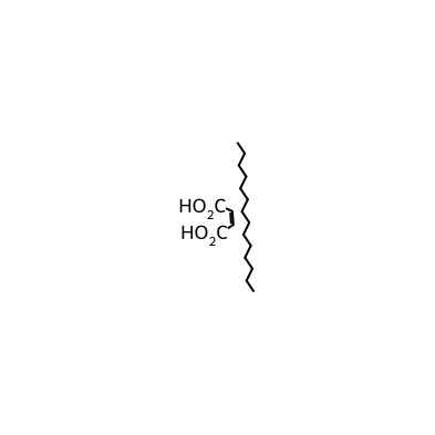 CCCCCCCCCCCCCC.O=C(O)/C=C\C(=O)O